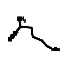 CCCCCCCCC(N)[N+]#N